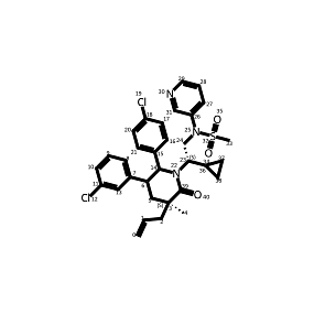 C=CC[C@@]1(C)CC(c2cccc(Cl)c2)C(c2ccc(Cl)cc2)N([C@H](CN(c2cccnc2)S(C)(=O)=O)C2CC2)C1=O